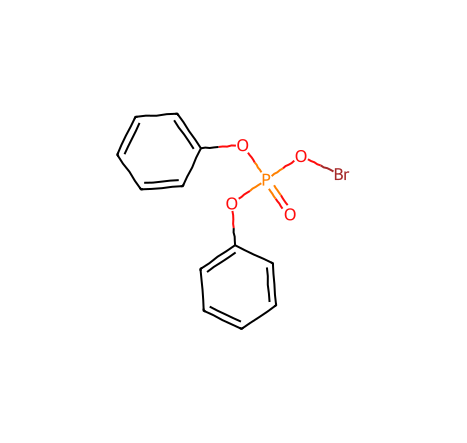 O=P(OBr)(Oc1ccccc1)Oc1ccccc1